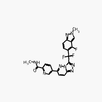 CNC(=O)c1ccc(-c2ccc3nnc(C(F)(F)c4ccc5nn(C)cc5c4F)n3n2)cn1